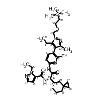 CCc1c(-c2ccc(NC(=O)[C@@H](NC(=O)c3ccnn3CC)[C@H]3CCCC4(CC4)C3)nc2F)c(C)nn1COCCS(C)(C)C